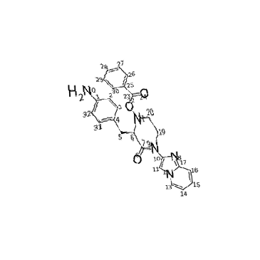 Nc1ccc(C[C@@H]2C(=O)N(c3cn4ccccc4n3)CCN2OC(=O)c2ccccc2)cc1